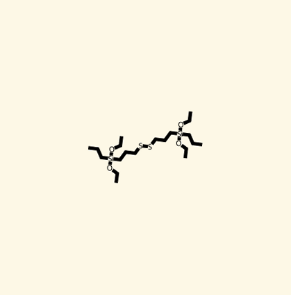 CCC[Si](CCCSSCCC[Si](CCC)(OCC)OCC)(OCC)OCC